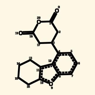 O=C1CC(c2cccc3oc4c(c23)CCCC4)CC(=O)O1